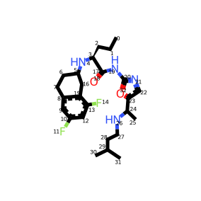 CCC[C@H](NC1CCc2cc(F)cc(F)c2C1)C(=O)Nc1ncc(C(C)NCCC(C)C)o1